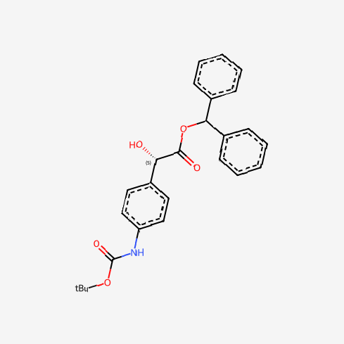 CC(C)(C)OC(=O)Nc1ccc([C@H](O)C(=O)OC(c2ccccc2)c2ccccc2)cc1